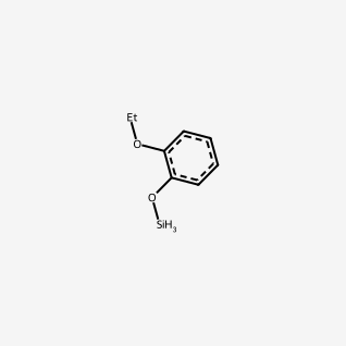 CCOc1ccccc1O[SiH3]